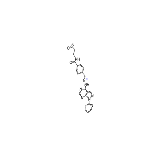 C[S+]([O-])CCNC(=O)c1ccc(/C=N/Nc2ncnc3c2cnn3-c2ccccn2)cc1